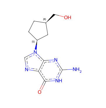 Nc1nc2c(ncn2[C@H]2CC[C@@H](CO)C2)c(=O)[nH]1